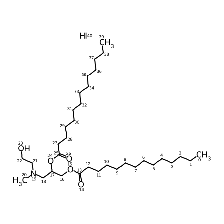 CCCCCCCCCCCCCC(=O)OCC(CN(C)CCO)OC(=O)CCCCCCCCCCCCC.I